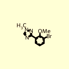 COc1c(Br)cccc1-c1ncn(C)n1